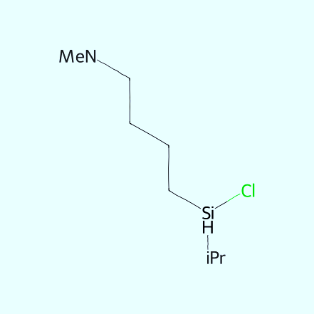 CNCCCC[SiH](Cl)C(C)C